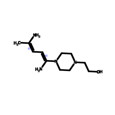 C/C(N)=C/C=C(\N)N1CCN(CCO)CC1